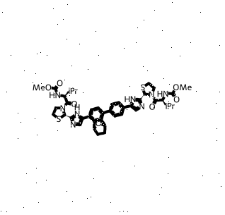 COC(=O)N[C@H](C(=O)N1CCS[C@H]1c1ncc(-c2ccc(-c3ccc(-c4cnc([C@@H]5SCCN5C(=O)[C@@H](NC(=O)OC)C(C)C)[nH]4)c4c3C3CCC4O3)cc2)[nH]1)C(C)C